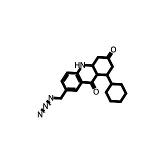 [N-]=[N+]=NCc1ccc2c(c1)C(=O)C1C(CC(=O)CC1C1CCCCC1)N2